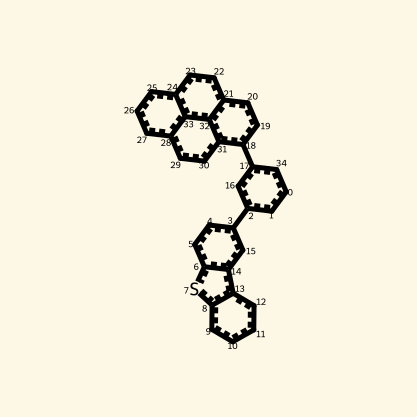 c1cc(-c2ccc3sc4ccccc4c3c2)cc(-c2ccc3ccc4cccc5ccc2c3c45)c1